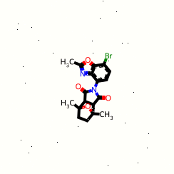 Cc1nc2c(N3C(=O)C4C(C3=O)C3(C)CCC4(C)O3)ccc(Br)c2o1